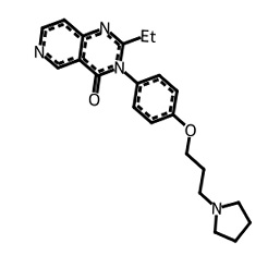 CCc1nc2ccncc2c(=O)n1-c1ccc(OCCCN2CCCC2)cc1